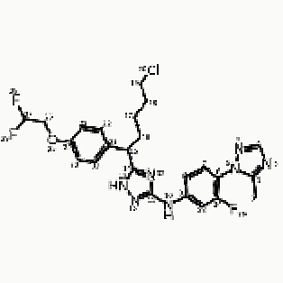 Cc1ncnn1-c1ccc(Nc2n[nH]c(C(CCCCCl)c3ccc(OCC(F)F)cc3)n2)cc1F